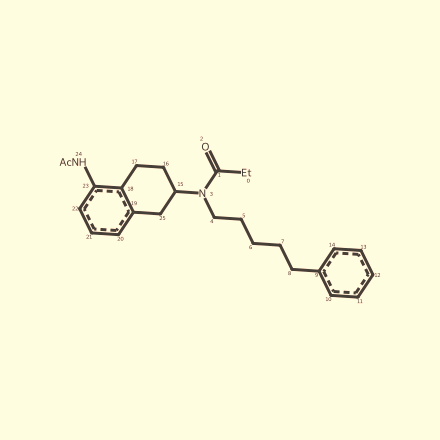 CCC(=O)N(CCCCCc1ccccc1)C1CCc2c(cccc2NC(C)=O)C1